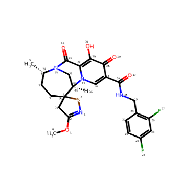 COC1=NS[C@]2(CC[C@H](C)N3C[C@H]2n2cc(C(=O)NCc4ccc(F)cc4F)c(=O)c(O)c2C3=O)C1